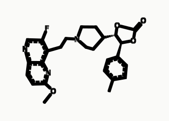 COc1ccc2ncc(F)c(CCN3CCC([C@@H]4OC(=O)O[C@H]4c4ccc(C)cc4)CC3)c2n1